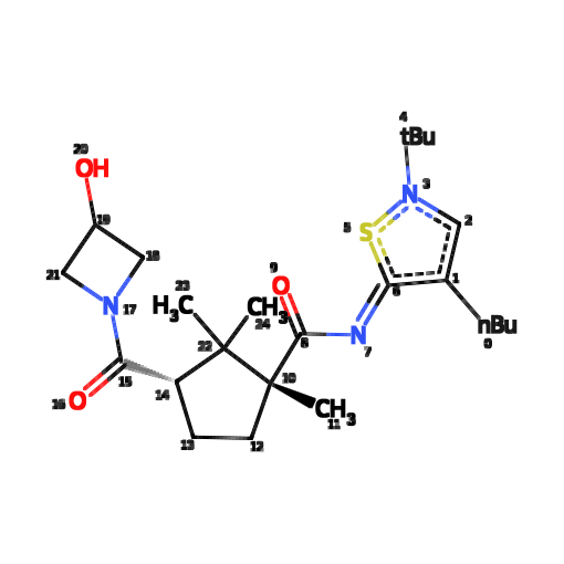 CCCCc1cn(C(C)(C)C)s/c1=N\C(=O)[C@]1(C)CC[C@H](C(=O)N2CC(O)C2)C1(C)C